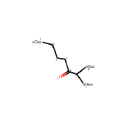 CCCCCCCCCCCCCC(=O)[C](CCCCCC)CCCCCCCCCC